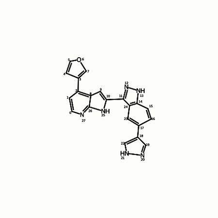 c1cc(-c2ccoc2)c2cc(-c3n[nH]c4ccc(-c5cn[nH]c5)cc34)[nH]c2n1